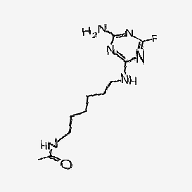 CC(=O)NCCCCCCNc1nc(N)nc(F)n1